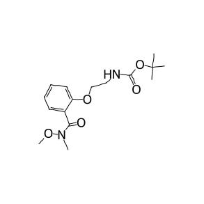 CON(C)C(=O)c1ccccc1OCCNC(=O)OC(C)(C)C